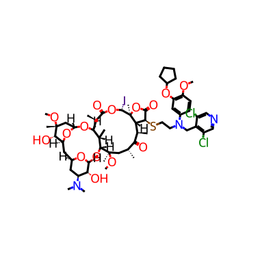 COc1ccc(N(CCS[C@@H]2C(=O)O[C@@]3(C)[C@H]2[C@@H](C)C(=O)[C@H](C)C[C@@](C)(OC)[C@@H]2O[C@@H]4O[C@H](C[C@@H]5O[C@H](C[C@@](C)(OC)[C@H]5O)O[C@@H]([C@@H]2C)[C@@H](C)C(=O)O[C@@H]3I)C[C@H](N(C)C)[C@H]4O)Cc2c(Cl)cncc2Cl)cc1OC1CCCC1